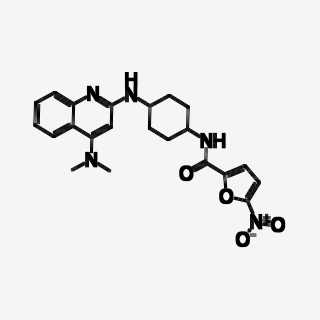 CN(C)c1cc(NC2CCC(NC(=O)c3ccc([N+](=O)[O-])o3)CC2)nc2ccccc12